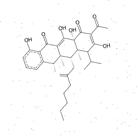 C=C(CCCCC)C[C@@H]1[C@]2(C)C(=C(O)[C@@]3(O)C(=O)C(C(C)=O)=C(O)C(C(C)C)[C@@]13C)C(=O)c1c(O)cccc1[C@H]2C